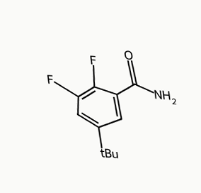 CC(C)(C)c1cc(F)c(F)c(C(N)=O)c1